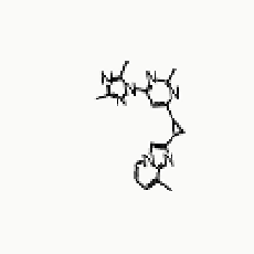 Cc1nc(C2CC2c2cn3cccc(C)c3n2)cc(-n2nc(C)nc2C)n1